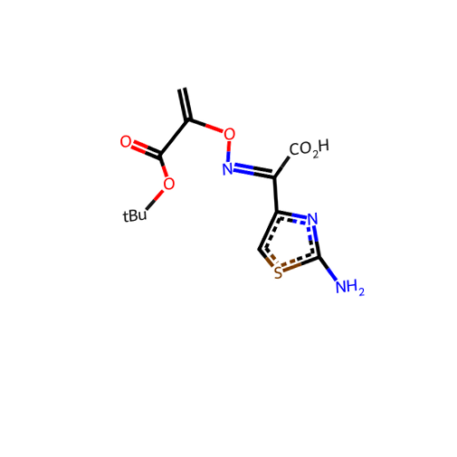 C=C(ON=C(C(=O)O)c1csc(N)n1)C(=O)OC(C)(C)C